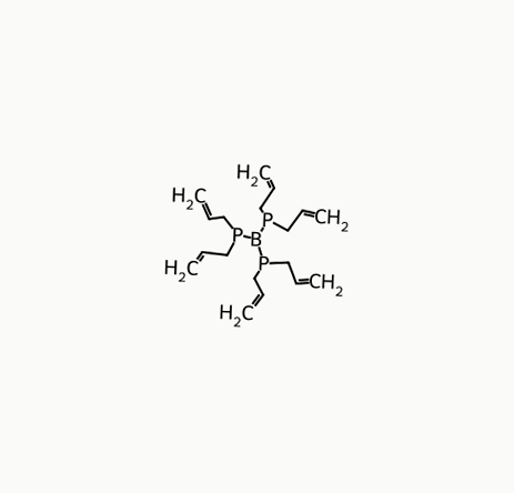 C=CCP(CC=C)B(P(CC=C)CC=C)P(CC=C)CC=C